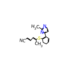 C/C(=C\C=C\C#N)SC1=C(c2ccnc(C)n2)C=CCC1